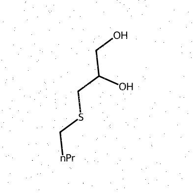 CCCCSCC(O)CO